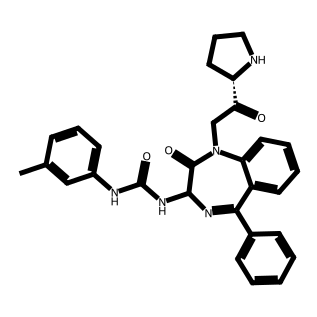 Cc1cccc(NC(=O)NC2N=C(c3ccccc3)c3ccccc3N(CC(=O)[C@@H]3CCCN3)C2=O)c1